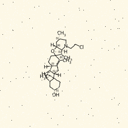 CC1=C2C[C@H]3C(CCC4C[C@@H](O)CCC43C(C)C)[C@@H]2CCC12O[C@@H]1C[C@H](C)CN(CCCl)[C@H]1[C@H]2C